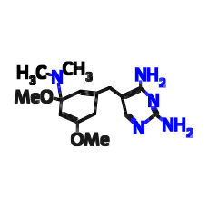 COC1=CC(OC)(N(C)C)C=C(Cc2cnc(N)nc2N)C1